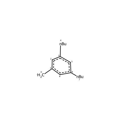 [CH2]c1cc(CCCC)cc(CCCC)c1